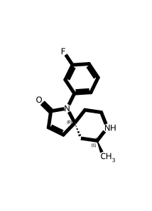 C[C@H]1C[C@@]2(C=CC(=O)N2c2cccc(F)c2)CCN1